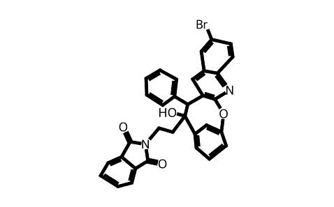 O=C1c2ccccc2C(=O)N1CCC1(O)c2cccc(c2)Oc2nc3ccc(Br)cc3cc2C1c1ccccc1